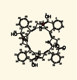 O=C(O)c1ccccc1C1=C2C=CC(=N2)C(c2ccccc2C(=O)O)=C2C=CC(=N2)C(c2ccccc2C(=O)O)=C2C=CC(=N2)C(c2ccccc2C(=O)O)=C2C=CC1=N2